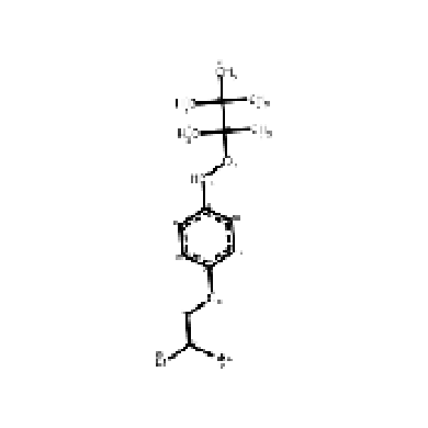 BC(C)(C)C(C)(C)OBc1ccc(OCC(CC)CCCC)cc1